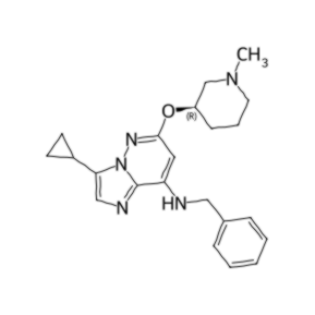 CN1CCC[C@@H](Oc2cc(NCc3ccccc3)c3ncc(C4CC4)n3n2)C1